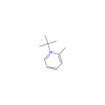 Cc1cccc[n+]1C(C)(C)C